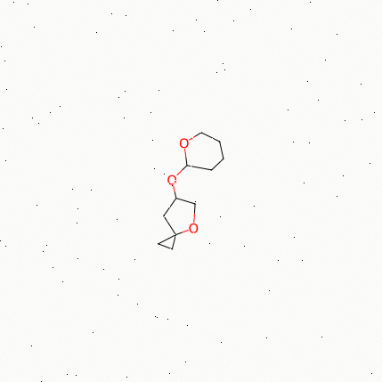 C1CCC(OC2COC3(CC3)C2)OC1